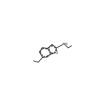 CCNc1cc2ccc(CC)cc2o1